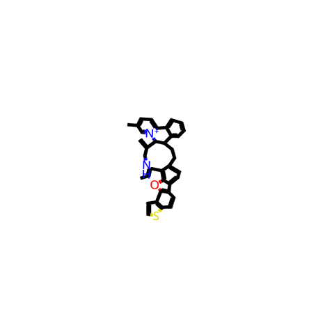 C=C1CN/C(=C\C)c2c(ccc3c2oc2c4ccsc4ccc32)CCC2c3ccccc3-c3ccc(C)c[n+]3C12